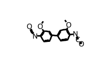 COc1cc(-c2ccc(N=C=O)c(OC)c2)ccc1N=C=O